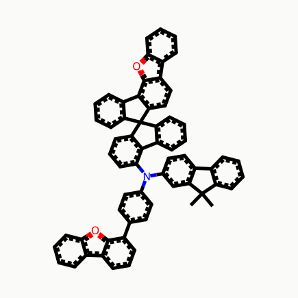 CC1(C)c2ccccc2-c2ccc(N(c3ccc(-c4cccc5c4oc4ccccc45)cc3)c3cccc4c3-c3ccccc3C43c4ccccc4-c4c3ccc3c4oc4ccccc43)cc21